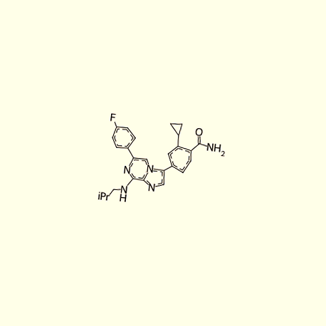 CC(C)CNc1nc(-c2ccc(F)cc2)cn2c(-c3ccc(C(N)=O)c(C4CC4)c3)cnc12